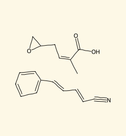 CC(=CCC1CO1)C(=O)O.N#CC=CC=Cc1ccccc1